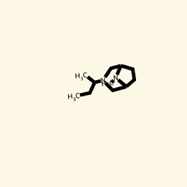 CCC(C)N1CC2CCC(C1)N2C